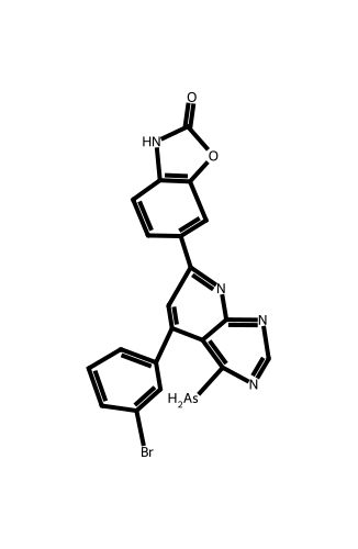 O=c1[nH]c2ccc(-c3cc(-c4cccc(Br)c4)c4c([AsH2])ncnc4n3)cc2o1